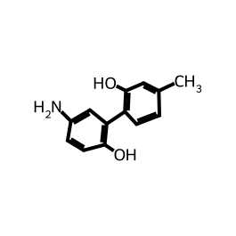 Cc1ccc(-c2cc(N)ccc2O)c(O)c1